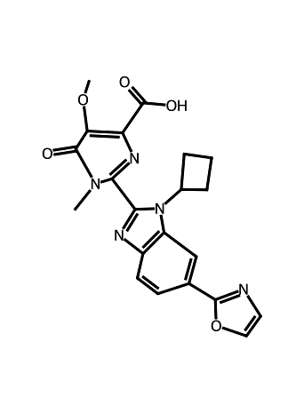 COc1c(C(=O)O)nc(-c2nc3ccc(-c4ncco4)cc3n2C2CCC2)n(C)c1=O